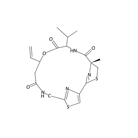 C=CC1CC(=O)NCc2nc(cs2)C2=N[C@@](C)(CS2)C(=O)NC(C(C)C)C(=O)O1